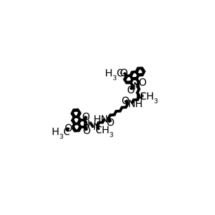 COc1ccc2c3c(c4ccccc4cc13)C(=O)N(CCN(C)CCNC(=O)CCCCCCC(=O)NCCN(C)CCN1C(=O)c3ccc(OC)c4cc5ccccc5c(c34)C1=O)C2=O